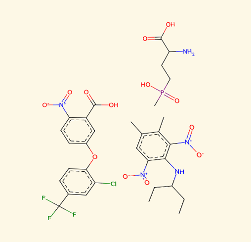 CCC(CC)Nc1c([N+](=O)[O-])cc(C)c(C)c1[N+](=O)[O-].CP(=O)(O)CCC(N)C(=O)O.O=C(O)c1cc(Oc2ccc(C(F)(F)F)cc2Cl)ccc1[N+](=O)[O-]